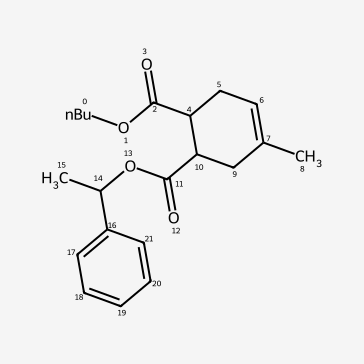 CCCCOC(=O)C1CC=C(C)CC1C(=O)OC(C)c1ccccc1